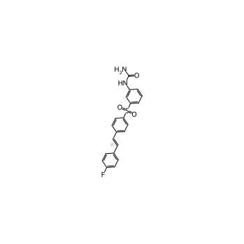 NC(=O)Nc1cccc(S(=O)(=O)c2ccc(/C=C/c3ccc(F)cc3)cc2)c1